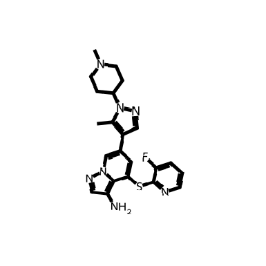 Cc1c(-c2cc(Sc3ncccc3F)c3c(N)cnn3c2)cnn1C1CCN(C)CC1